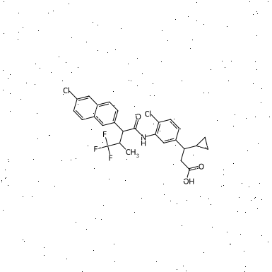 CC(C(C(=O)Nc1cc(C(CC(=O)O)C2CC2)ccc1Cl)c1ccc2cc(Cl)ccc2c1)C(F)(F)F